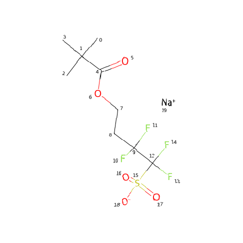 CC(C)(C)C(=O)OCCC(F)(F)C(F)(F)S(=O)(=O)[O-].[Na+]